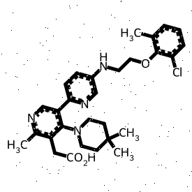 Cc1cccc(Cl)c1OCCNc1ccc(-c2cnc(C)c(CC(=O)O)c2N2CCC(C)(C)CC2)nc1